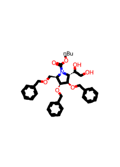 CCCCOC(=O)N1[C@H](COCc2ccccc2)[C@@H](OCc2ccccc2)[C@H](OCc2ccccc2)[C@H]1C(O)CO